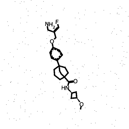 CO[C@H]1C[C@@H](NC(=O)C23CCCC(c4ccc(OC/C(=C/F)CN)cc4)(CC2)CC3)C1